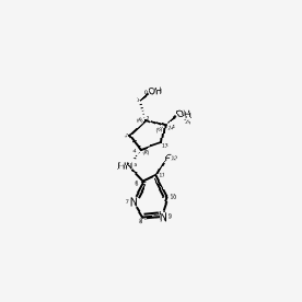 OC[C@H]1C[C@@H](Nc2ncncc2F)C[C@@H]1O